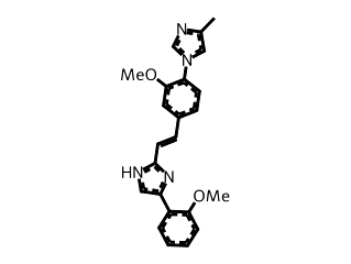 COc1ccccc1-c1c[nH]c(C=Cc2ccc(-n3cnc(C)c3)c(OC)c2)n1